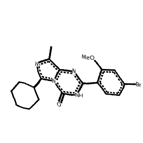 COc1cc(Br)ccc1-c1nc2c(C)nc(C3CCCCC3)n2c(=O)[nH]1